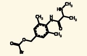 CNC(C)C(=O)Nc1c(C)cc(COC(=O)Br)cc1C